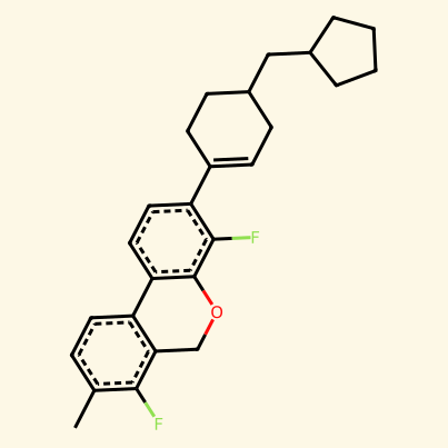 Cc1ccc2c(c1F)COc1c-2ccc(C2=CCC(CC3CCCC3)CC2)c1F